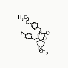 CCOc1ccc(CN2CC(Cc3ccc(F)cc3)C3(CCN(C)CC3)OC2=O)cc1